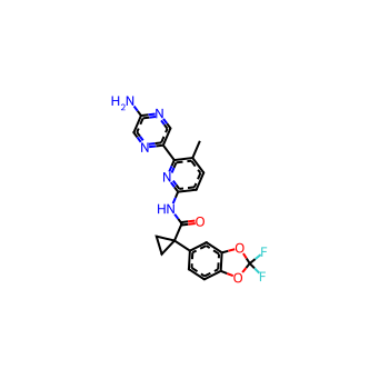 Cc1ccc(NC(=O)C2(c3ccc4c(c3)OC(F)(F)O4)CC2)nc1-c1cnc(N)cn1